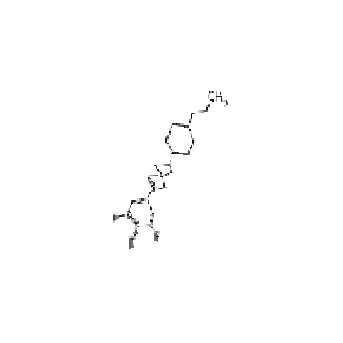 CCC[C@H]1CC[C@H](C2CC3(C=C(c4cc(F)c(F)c(F)c4)C3)C2)CC1